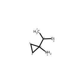 CCC(C)C1(N)CC1